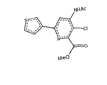 COC(=O)c1nc(-c2ccsc2)cc(NC(C)=O)c1Cl